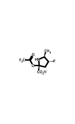 C[C@@H]1N[C@](OC(=O)C(F)(F)F)(C(=O)O)C[C@H]1F